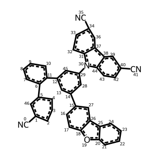 N#Cc1cccc(-c2ccccc2-c2cc(-c3ccc4oc5ccccc5c4c3)cc(-n3c4ccc(C#N)cc4c4cc(C#N)ccc43)c2)c1